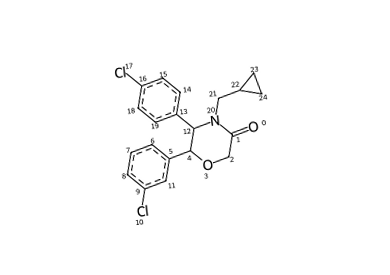 O=C1COC(c2cccc(Cl)c2)C(c2ccc(Cl)cc2)N1CC1CC1